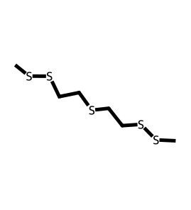 CSSCCSCCSSC